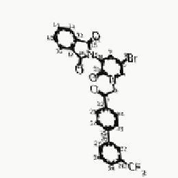 O=C(Cn1cc(Br)cc(N2C(=O)c3ccccc3C2=O)c1=O)c1ccc(-c2cccc(C(F)(F)F)c2)cc1